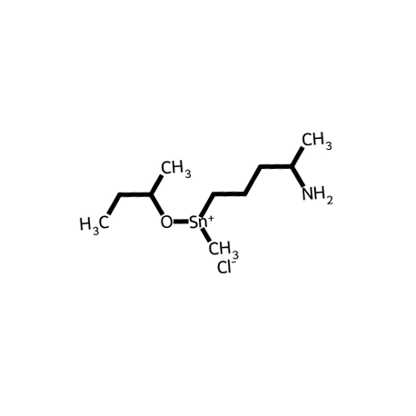 CCC(C)[O][Sn+]([CH3])[CH2]CCC(C)N.[Cl-]